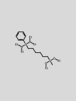 CCO[Si](C)(CCCCCC[Si](c1ccccc1)(N(CC)CC)N(CC)CC)OCC